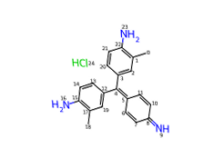 Cc1cc(C(=C2C=CC(=N)C=C2)c2ccc(N)c(C)c2)ccc1N.Cl